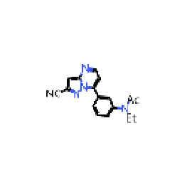 CCN(C(C)=O)c1cccc(-c2ccnc3cc(C#N)nn23)c1